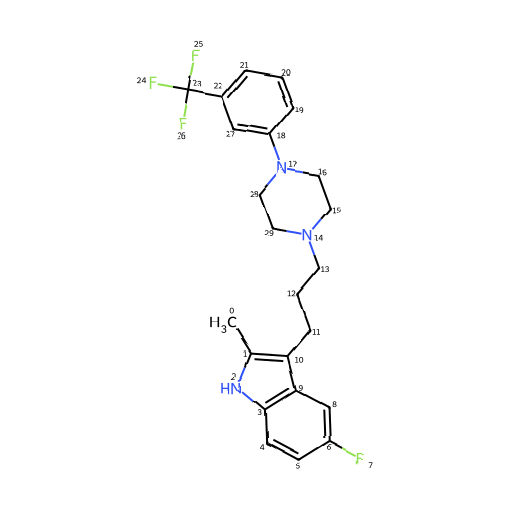 Cc1[nH]c2ccc(F)cc2c1CCCN1CCN(c2cccc(C(F)(F)F)c2)CC1